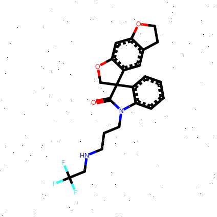 O=C1N(CCCNCC(F)(F)F)c2ccccc2C12COc1cc3c(cc12)CCO3